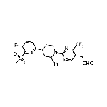 CC(C)C1CN(c2ccc(F)c(S(C)(=O)=O)c2)CCN1c1ncc(CC=O)c(C(F)(F)F)n1